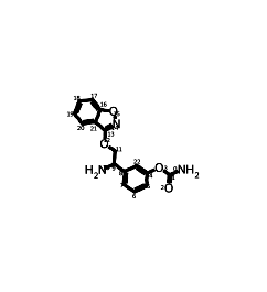 NC(=O)Oc1cccc(C(N)COc2noc3ccccc23)c1